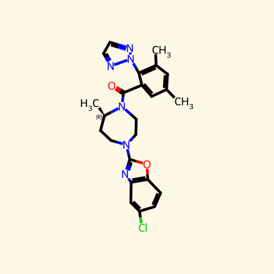 Cc1cc(C)c(-n2nccn2)c(C(=O)N2CCN(c3nc4cc(Cl)ccc4o3)CC[C@H]2C)c1